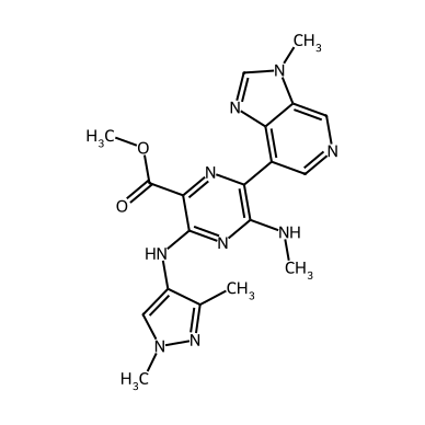 CNc1nc(Nc2cn(C)nc2C)c(C(=O)OC)nc1-c1cncc2c1ncn2C